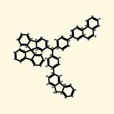 c1ccc2c(c1)-c1ccccc1C21c2ccccc2-c2ccc(N(c3ccc(-c4ccc5c(ccc6ccccc65)c4)cc3)c3ccc(-c4ccc5sc6ccccc6c5c4)cc3)cc21